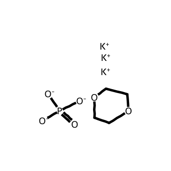 C1COCCO1.O=P([O-])([O-])[O-].[K+].[K+].[K+]